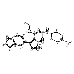 CCOc1nc(N[C@H]2CC[C@@H](O)CC2)nc2[nH]cc(-c3ccn4nccc4c3)c12